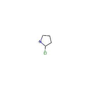 ClC1CCC[N]1